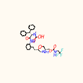 CN(C(=O)O)[C@H](C(=O)Nc1ccccc1CC[C@@H]1CN[C@H](COC(=O)NCC(F)(F)F)CO1)C(c1ccccc1)c1ccccc1